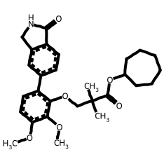 COc1ccc(-c2ccc3c(c2)CNC3=O)c(OCC(C)(C)C(=O)OC2CCCCCC2)c1OC